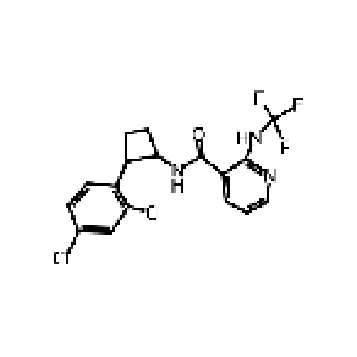 O=C(NC1CCC1c1ccc(Cl)cc1Cl)c1cccnc1NC(F)(F)F